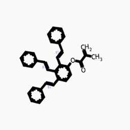 C=C(C)C(=O)Oc1ccc(/C=C/c2ccccc2)c(/C=C/c2ccccc2)c1/C=C/c1ccccc1